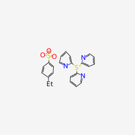 CCc1ccc(S(=O)(=O)[O-])cc1.c1ccc([S+](c2ccccn2)c2ccccn2)nc1